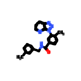 Cc1cccc(CNC(=O)c2ccc(C)c(-n3nnc4cccnc43)c2)c1